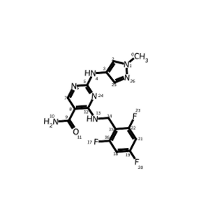 Cn1cc(Nc2ncc(C(N)=O)c(NCc3c(F)cc(F)cc3F)n2)cn1